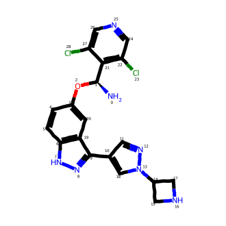 N[C@@H](Oc1ccc2[nH]nc(-c3cnn(C4CNC4)c3)c2c1)c1c(Cl)cncc1Cl